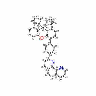 c1ccc2c(c1)Oc1c(-c3ccc(-c4ccc5ccc6cccnc6c5n4)cc3)cccc1C21c2ccccc2-c2ccccc21